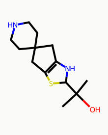 CC(C)(O)C1NC2=C(CC3(CCNCC3)C2)S1